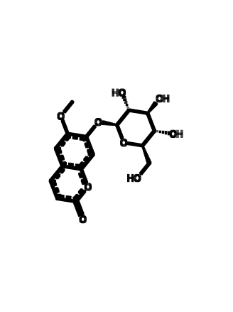 COc1cc2ccc(=O)oc2cc1O[C@@H]1O[C@H](CO)[C@@H](O)[C@H](O)[C@H]1O